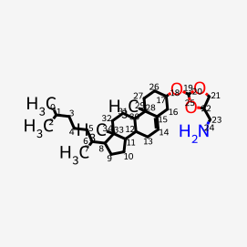 CC(C)CCCC(C)C1CCC2C3CC=C4CC(OC5OCC(CN)O5)CCC4(C)C3CCC12C